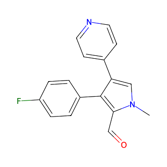 Cn1cc(-c2ccncc2)c(-c2ccc(F)cc2)c1C=O